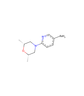 C[C@@H]1CN(c2ccc([AsH2])cn2)C[C@H](C)O1